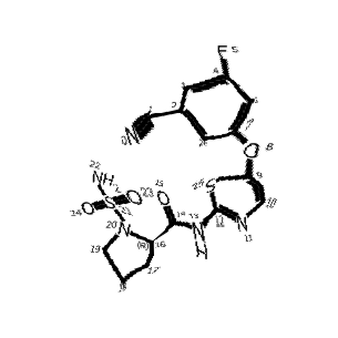 N#Cc1cc(F)cc(Oc2cnc(NC(=O)[C@H]3CCCN3S(N)(=O)=O)s2)c1